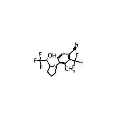 Cc1c(N2CCCC2[C@@H](O)C(F)(F)F)ccc(C#N)c1C(F)(F)F